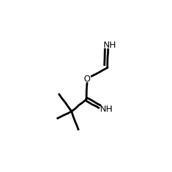 CC(C)(C)C(=N)OC=N